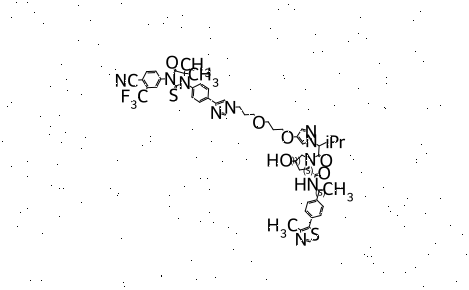 Cc1ncsc1-c1ccc([C@H](C)NC(=O)[C@@H]2C[C@@H](O)CN2C(=O)C(C(C)C)n2cc(OCCCOCCCn3cnc(-c4ccc(N5C(=S)N(c6ccc(C#N)c(C(F)(F)F)c6)C(=O)C5(C)C)cc4)c3)cn2)cc1